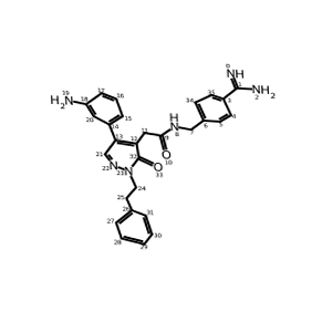 N=C(N)c1ccc(CNC(=O)Cc2c(-c3cccc(N)c3)cnn(CCc3ccccc3)c2=O)cc1